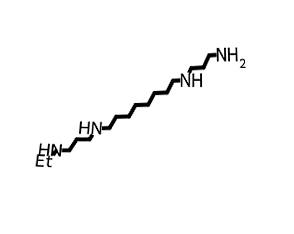 CCNCCCNCCCCCCCCNCCCN